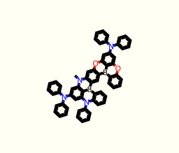 CN1c2cc3c(cc2B2c4ccccc4N(c4ccccc4)c4cc(N(c5ccccc5)c5ccccc5)cc1c42)B1c2ccccc2Oc2cc(N(c4ccccc4)c4ccccc4)cc(c21)O3